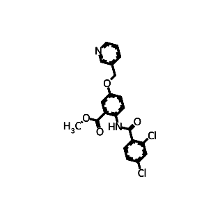 COC(=O)c1cc(OCc2cccnc2)ccc1NC(=O)c1ccc(Cl)cc1Cl